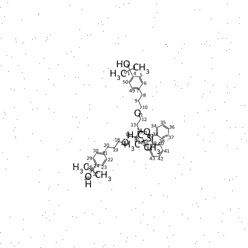 CC(C)(O)c1ccc(CCCOCCC(CCOCCCc2ccc(C(C)(C)O)cc2)O[Si](c2ccccc2)(c2ccccc2)C(C)(C)C)cc1